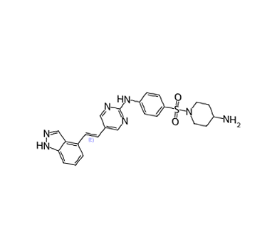 NC1CCN(S(=O)(=O)c2ccc(Nc3ncc(/C=C/c4cccc5[nH]ncc45)cn3)cc2)CC1